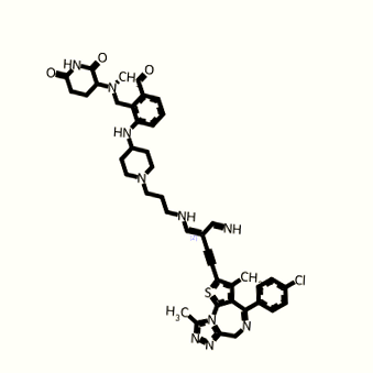 Cc1c(C#C/C(C=N)=C/NCCCN2CCC(Nc3cccc(C=O)c3CN(C)C3CCC(=O)NC3=O)CC2)sc2c1C(c1ccc(Cl)cc1)=NCc1nnc(C)n1-2